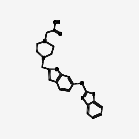 O=C(O)CN1CCN(Cc2cc3ccc(Oc4nc5ccccc5s4)cc3o2)CC1